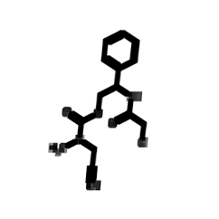 C#CCN(C)C(=O)OCC(NC(=O)CCl)c1ccccc1